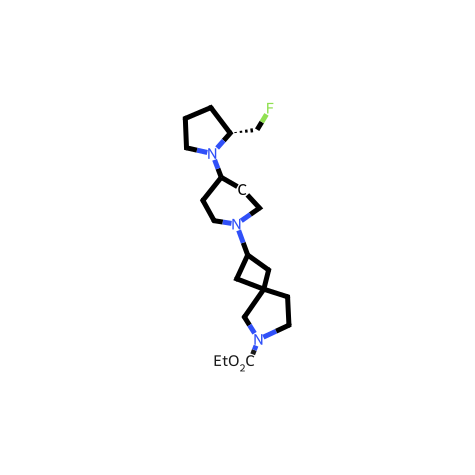 CCOC(=O)N1CCC2(CC(N3CCC(N4CCC[C@@H]4CF)CC3)C2)C1